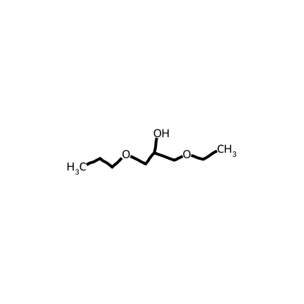 CCCOCC(O)COCC